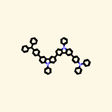 c1ccc(C(c2ccccc2)c2ccc(-c3ccc4c(c3)c3cc(-c5ccc6c(c5)c5cc(-c7ccc(N(c8ccccc8)c8ccccc8)cc7)ccc5n6-c5ccccc5)ccc3n4-c3ccccc3)cc2)cc1